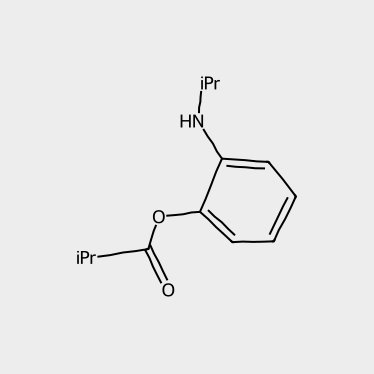 CC(C)Nc1ccccc1OC(=O)C(C)C